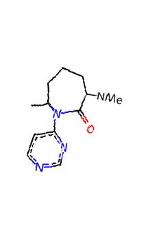 CNC1CCCC(C)N(c2ccncn2)C1=O